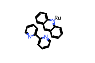 [Ru].c1ccc(-c2ccccn2)nc1.c1ccc2nc3ccccc3cc2c1